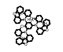 Cc1cccc(C)c1N(c1cc(N(c2c(C)cccc2C)c2cccc3oc4ccccc4c23)cc(N(c2c(C)cccc2C)c2cccc3oc4ccccc4c23)c1)c1cccc2oc3ccccc3c12